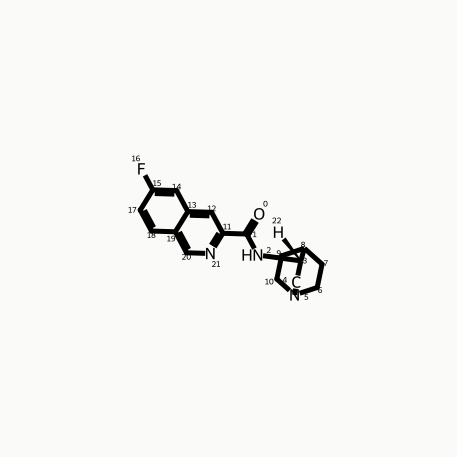 O=C(N[C@H]1CN2CCC1CC2)c1cc2cc(F)ccc2cn1